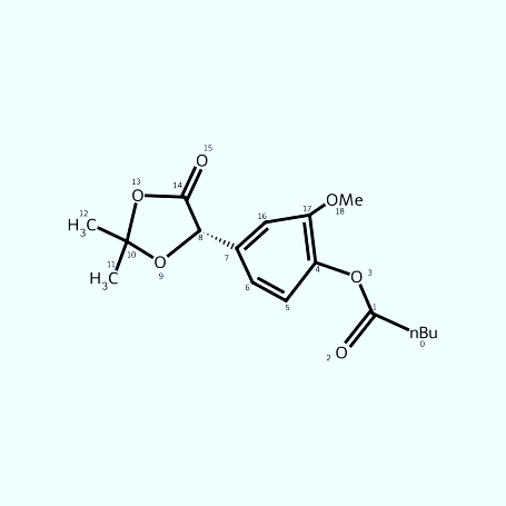 CCCCC(=O)Oc1ccc([C@@H]2OC(C)(C)OC2=O)cc1OC